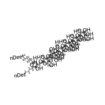 CCCCCCCCCCCCC/C=C/[C@@H](O)[C@H](CO[C@@H]1OC(CO)[C@@H](O[C@@H]2OC(CO)[C@H](O[C@@H]3OC(CO)[C@H](O)[C@H](O[C@H]4OC(CO)[C@H](O)[C@H](O[C@H]5OC(CO)[C@H](O)[C@H](O[C@H]6OC(CO)[C@H](O)[C@H](O)C6O)C5O)C4O)C3O)[C@H](O)C2O)[C@H](O)C1O)NC(=O)CCCCCCCCCCCCCCC